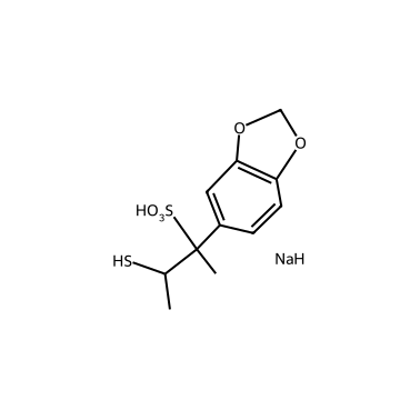 CC(S)C(C)(c1ccc2c(c1)OCO2)S(=O)(=O)O.[NaH]